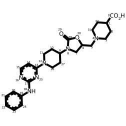 O=C(O)C1CCN(CC2CN(C3CCN(c4ccnc(Nc5ccccc5)n4)CC3)C(=O)O2)CC1